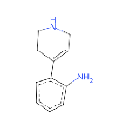 Nc1ccccc1C1=CCNCC1